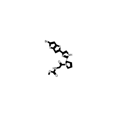 COC(=O)NCC(=O)N1CC=C[C@H]1c1nc(-c2cc3sc(Br)cc3s2)c[nH]1